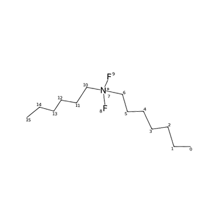 CCCCCCC[N+](F)(F)CCCCCC